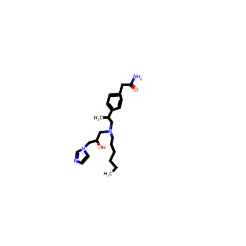 CCCCCCN(CC(O)Cn1ccnc1)CC(C)c1ccc(CC(N)=O)cc1